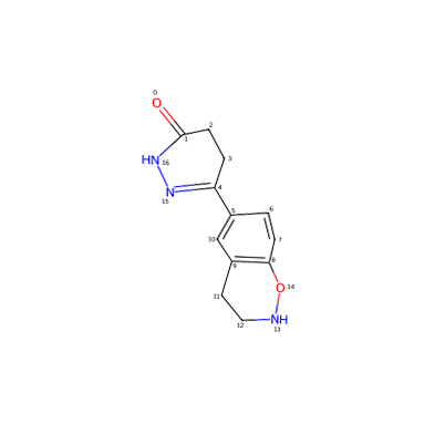 O=C1CCC(c2ccc3c(c2)CCNO3)=NN1